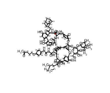 CC[C@H](CC(C)C)C(=O)N[C@H]1C(=O)C[C@@H](CC(=O)NC(=O)Nc2ccc(OCCCC(C)=O)cc2)C(=O)N[C@H]2C(=O)C[C@H]3C(=O)N[C@H](C(=O)N[C@H](C(=O)CC4C5CC6CC(C5)CC4C6)c4cc(O)cc(O)c4-c4cc3ccc4O)[C@H](O)c3ccc(c(Cl)c3)Oc3cc2cc(c3O[C@@H]2O[C@H](CO)[C@@H](O)[C@H](O)[C@H]2O[C@H]2C[C@](C)(N)[C@H](O)[C@H](C)O2)Oc2ccc(cc2Cl)[C@H]1O